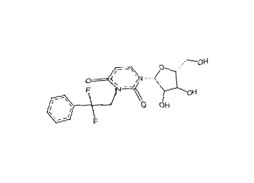 O=c1ccn([C@@H]2O[C@H](CO)C(O)C2O)c(=O)n1CC(F)(F)c1ccccc1